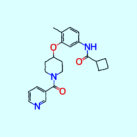 Cc1ccc(NC(=O)C2CCC2)cc1OC1CCN(C(=O)c2cccnc2)CC1